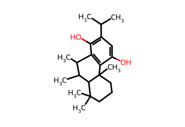 CC(C)c1cc(O)c2c(c1O)C(C)C(C)C1C(C)(C)CCCC21C